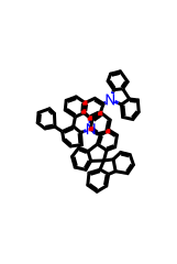 C1=CC2c3ccccc3C3(c4ccccc4-c4c(N(c5cccc(-n6c7ccccc7c7ccccc76)c5)c5cccc(-c6ccccc6)c5-c5ccccc5-c5ccccc5)cccc43)C2C=C1